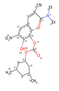 CCN(CC)C(=O)C(C#N)=Cc1cc(OC(=O)OC2CC(C)CC(C)C2)c(O)c([N+](=O)[O-])c1